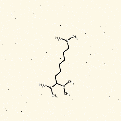 CN(C)CCCCCCC(N(C)C)N(C)C